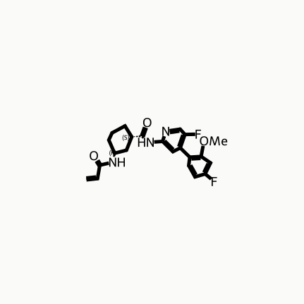 C=CC(=O)N[C@@H]1CCC[C@H](C(=O)Nc2cc(-c3ccc(F)cc3OC)c(F)cn2)C1